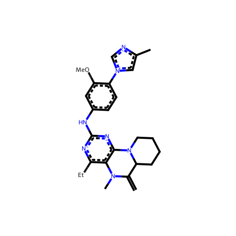 C=C1C2CCCCN2c2nc(Nc3ccc(-n4cnc(C)c4)c(OC)c3)nc(CC)c2N1C